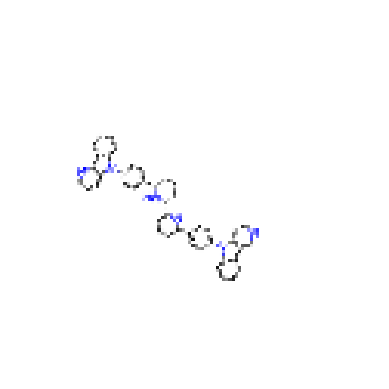 C1=CC(c2cccc(-c3ccc(-n4c5ccccc5c5cnccc54)cc3)n2)NC(c2ccc(-n3c4ccccc4c4ncccc43)cc2)=C1